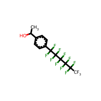 CC(O)c1ccc(C(F)(F)C(F)(F)C(F)(F)C(F)(F)C(F)(F)C(F)(F)F)cc1